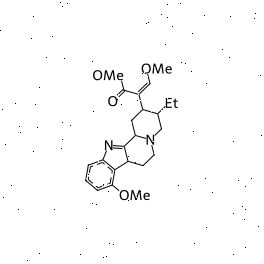 CCC1CN2CCC3C(=Nc4cccc(OC)c43)C2CC1/C(=C/OC)C(=O)OC